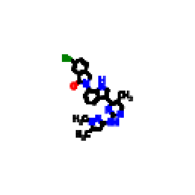 Cc1cnc(Nc2cc(C)n(C)n2)nc1-c1c[nH]c2c(N3Cc4ccc(Br)cc4C3=O)cccc12